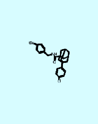 CC(C)(C)c1ccc(CNC(=O)C23CC4CC(C2)CC(c2ccc(Cl)cc2)(C4)C3)cc1